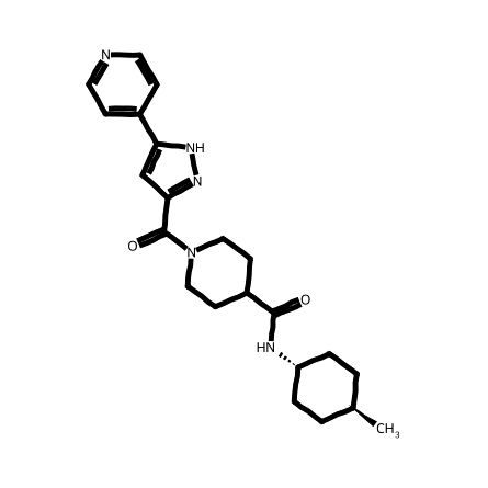 C[C@H]1CC[C@H](NC(=O)C2CCN(C(=O)c3cc(-c4ccncc4)[nH]n3)CC2)CC1